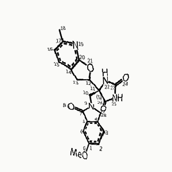 COc1ccc2c(c1)C(=O)N(C[C@@]1(C3Cc4ccc(C)nc4O3)NC(=O)NC1=O)C2